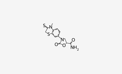 CN1C(=S)CSc2cc(N3CC(C(N)=O)OC3=O)ccc21